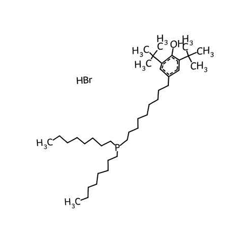 Br.CCCCCCCCP(CCCCCCCC)CCCCCCCCCc1cc(C(C)(C)C)c(O)c(C(C)(C)C)c1